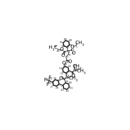 CCOC(=O)C(CCC(=O)Oc1ccc(N(C)C(=O)c2ccccc2-c2ccc(C(F)(F)F)cc2)c(C(=O)N(C)C)c1)(C(=O)OCC)c1ccccc1